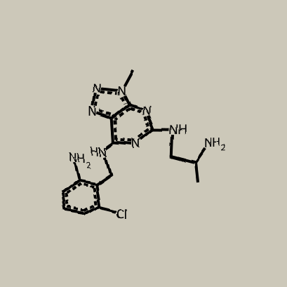 CC(N)CNc1nc(NCc2c(N)cccc2Cl)c2nnn(C)c2n1